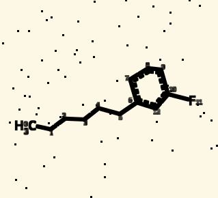 CCCCCCc1[c]ccc(F)c1